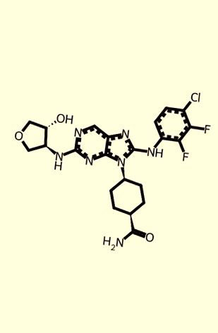 NC(=O)[C@H]1CC[C@@H](n2c(Nc3ccc(Cl)c(F)c3F)nc3cnc(N[C@H]4COC[C@@H]4O)nc32)CC1